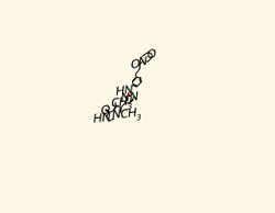 Cc1c(-c2ccnc(Nc3cccc(CCC(=O)N4CCOCC4)c3)n2)c(C)n2c1C(=O)NCC2